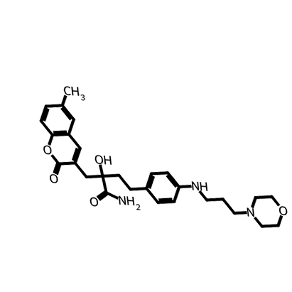 Cc1ccc2oc(=O)c(CC(O)(CCc3ccc(NCCCN4CCOCC4)cc3)C(N)=O)cc2c1